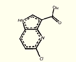 O=C(O)c1c[nH]c2ccc(Cl)nc12